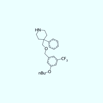 CCCCOc1cc(COCC2(c3ccccc3)CCNCC2)cc(C(F)(F)F)c1